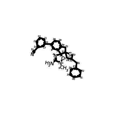 CN1OC2(N=C1N)c1cc(-c3cccc(C#N)c3)ccc1CC21CCC(Cc2ccccc2)CC1